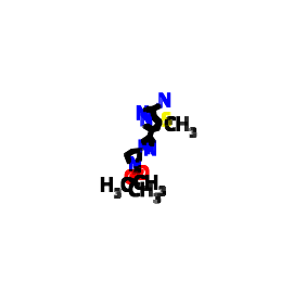 CSc1cc(-c2cnn([C@H]3CCCN(C(=O)OC(C)(C)C)C3)c2)cn2ncc(C#N)c12